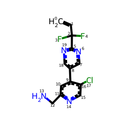 C=CC(F)(F)c1ncc(-c2cc(CN)ncc2Cl)cn1